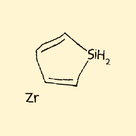 C1=C[SiH2]C=C1.[Zr]